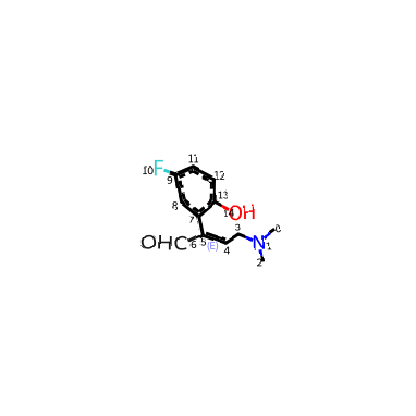 CN(C)C/C=C(/C=O)c1cc(F)ccc1O